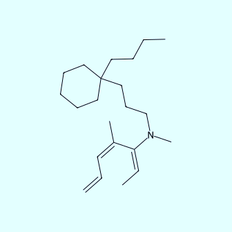 C=C/C=C(C)\C(=C/C)N(C)CCCC1(CCCC)CCCCC1